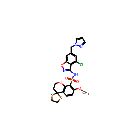 COc1ccc2c(c1S(=O)(=O)Nc1noc3cc(Cn4cccn4)cc(Cl)c13)OCCC21SCCS1